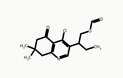 CCC(COC=O)c1cnc2c(c1Cl)C(=O)CC(C)(C)C2